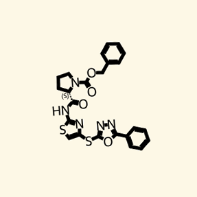 O=C(Nc1nc(Sc2nnc(-c3ccccc3)o2)cs1)[C@@H]1CCCN1C(=O)OCc1ccccc1